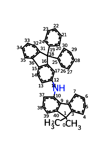 CC1(C)c2ccccc2-c2c(Nc3ccc4c(c3)C(c3ccccc3)(c3ccccc3)c3ccccc3-4)cccc21